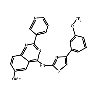 COc1ccc2nc(-c3cccnc3)nc(Nc3nc(-c4cccc(OC(F)(F)F)c4)cs3)c2c1